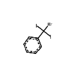 BrC(I)(I)c1ccccc1